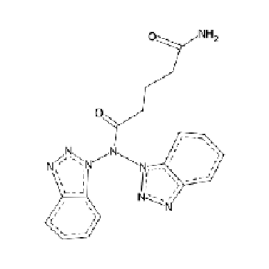 NC(=O)CCCC(=O)N(n1nnc2ccccc21)n1nnc2ccccc21